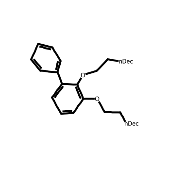 CCCCCCCCCCCCOc1cccc(-c2ccccc2)c1OCCCCCCCCCCCC